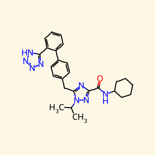 CC(C)n1nc(C(=O)NC2CCCCC2)nc1Cc1ccc(-c2ccccc2-c2nnn[nH]2)cc1